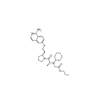 CCCOC(=O)CN(C1CCCCC1)[C@@H](C)C(=O)N1CCC[C@H]1CCOc1ccc2c(N)nccc2c1